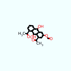 CC(=O)c1cccc2c(O)c3cc(OC=O)cc(C(C)=O)c3c(O)c12